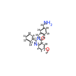 COc1ccc2nc(-c3ccccc3C)n(Cc3cccc(CN)c3)c(=O)c2c1